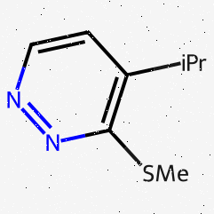 CSc1nnccc1C(C)C